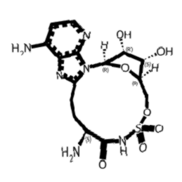 Nc1ccnc2c1nc1n2[C@@H]2O[C@H](COS(=O)(=O)NC(=O)[C@@H](N)CC1)[C@@H](O)[C@H]2O